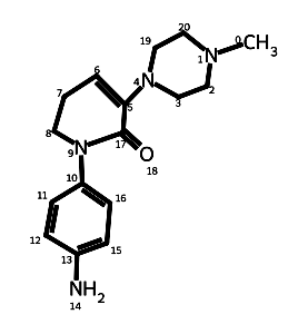 CN1CCN(C2=CCCN(c3ccc(N)cc3)C2=O)CC1